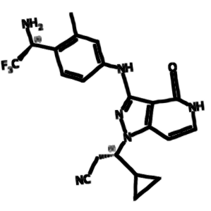 Cc1cc(Nc2nn([C@@H](CC#N)C3CC3)c3cc[nH]c(=O)c23)ccc1[C@H](N)C(F)(F)F